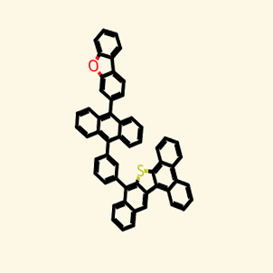 c1cc(-c2c3ccccc3c(-c3ccc4c(c3)oc3ccccc34)c3ccccc23)cc(-c2c3ccccc3cc3c2sc2c4ccccc4c4ccccc4c32)c1